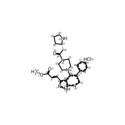 COC(=O)C=Cc1n[nH]c2ncc(-c3ccccc3)c(N3CCN(C(=O)C[C@@H]4CCCN4)CC3)c12.Cl